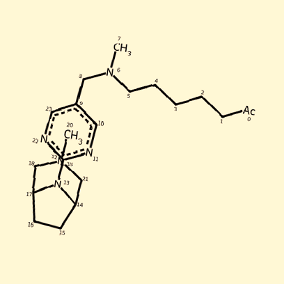 CC(=O)CCCCCN(C)Cc1cnc(N2C3CCC2CN(C)C3)nc1